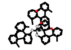 Cc1cccc(C)c1-c1cccc(OP(=O)(Oc2cccc(-c3c(C)cccc3C)c2-c2c(C)cccc2C)Oc2cccc(-c3c(C)cccc3C)c2-c2c(C)cccc2C)c1-c1c(C)cccc1C